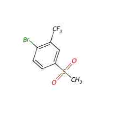 CS(=O)(=O)c1ccc(Br)c(C(F)(F)F)c1